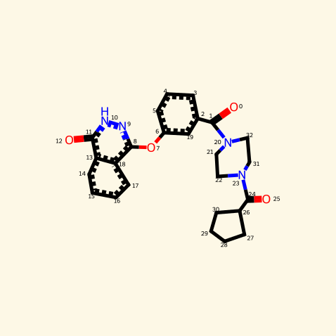 O=C(c1cccc(Oc2n[nH]c(=O)c3ccccc23)c1)N1CCN(C(=O)C2CCCC2)CC1